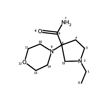 CCN1CCC(C(N)=O)(N2CCOCC2)C1